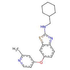 Cc1cc(Oc2ccc3nc(NCC4CCCCC4)sc3c2)ccn1